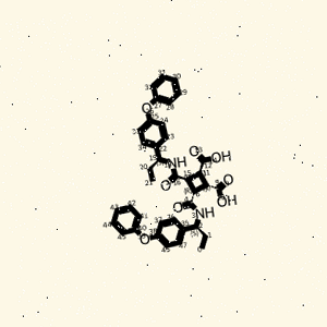 CC[C@H](NC(=O)[C@H]1[C@@H](C(=O)O)[C@H](C(=O)O)[C@@H]1C(=O)N[C@@H](CC)c1ccc(Oc2ccccc2)cc1)c1ccc(Oc2ccccc2)cc1